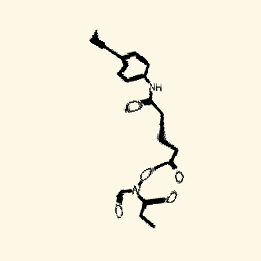 C#Cc1ccc(NC(=O)CCCC(=O)ON(C=O)C(=O)CC)cc1